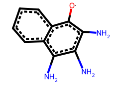 Nc1c(N)c([O])c2ccccc2c1N